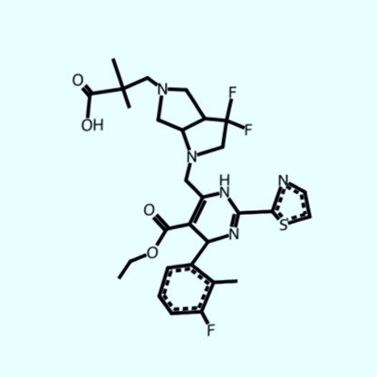 CCOC(=O)C1=C(CN2CC(F)(F)C3CN(CC(C)(C)C(=O)O)CC32)NC(c2nccs2)=NC1c1cccc(F)c1C